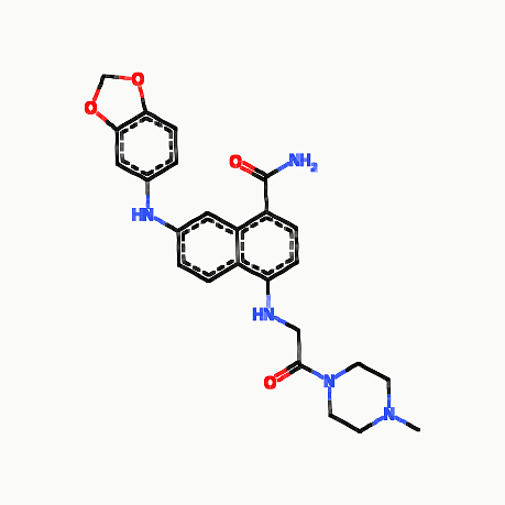 CN1CCN(C(=O)CNc2ccc(C(N)=O)c3cc(Nc4ccc5c(c4)OCO5)ccc23)CC1